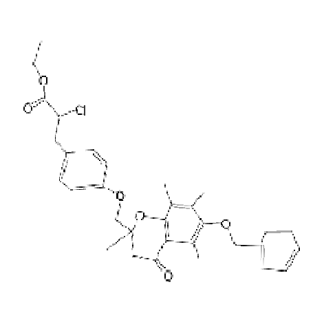 CCOC(=O)C(Cl)Cc1ccc(OCC2(C)CC(=O)c3c(C)c(OCc4ccccc4)c(C)c(C)c3O2)cc1